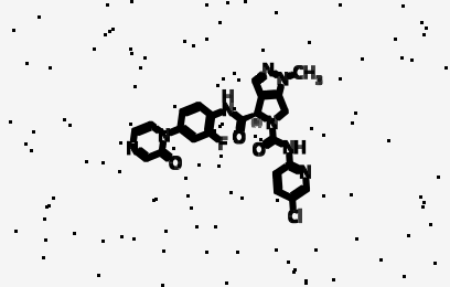 Cn1ncc2c1CN(C(=O)Nc1ccc(Cl)cn1)[C@H]2C(=O)Nc1ccc(-n2ccncc2=O)cc1F